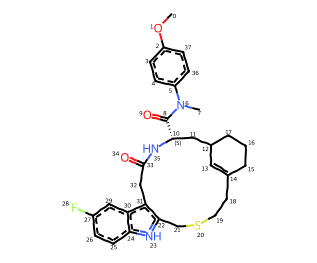 COc1ccc(N(C)C(=O)[C@@H]2CC3C=C(CCC3)CCSCc3[nH]c4ccc(F)cc4c3CC(=O)N2)cc1